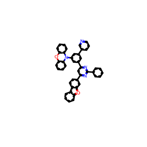 c1ccc(-c2nc(-c3cc(-c4cccnc4)cc(N4c5ccccc5Oc5ccccc54)c3)cc(-c3ccc4c(c3)oc3ccccc34)n2)cc1